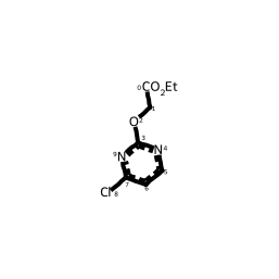 CCOC(=O)COc1nccc(Cl)n1